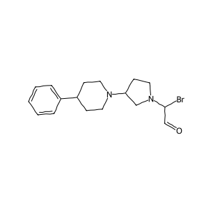 O=CC(Br)N1CCC(N2CCC(c3ccccc3)CC2)C1